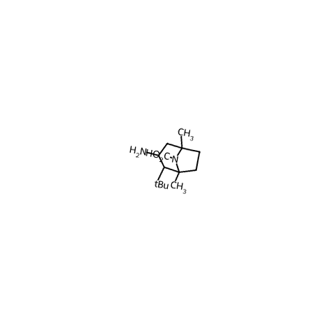 CC(C)(C)C1C(N)CC2(C)CCC1(C)N2C(=O)O